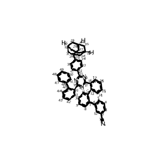 N#Cc1cccc(-c2ccccc2-c2ccccc2-c2nc(-c3ccc(C45C[C@H]6C[C@H](C4)C[C@@H](C5)C6)cc3)nc(-c3ccccc3-c3ccccc3)n2)c1